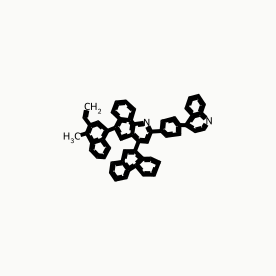 C=Cc1cc(-c2cc3c(-c4cc5ccccc5c5ccccc45)cc(-c4ccc(-c5ccnc6ccccc56)cc4)nc3c3ccccc23)c2ccccc2c1C